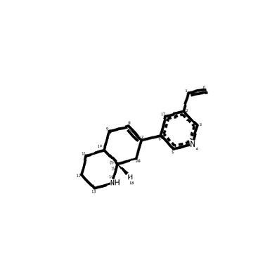 C=Cc1cncc(C2=CCC3CCCN[C@H]3C2)c1